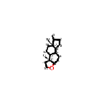 CC1CCC2C3CCC4OCC[C@]4(C)C3CC[C@]12C